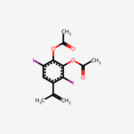 C=C(C)c1cc(I)c(OC(C)=O)c(OC(C)=O)c1I